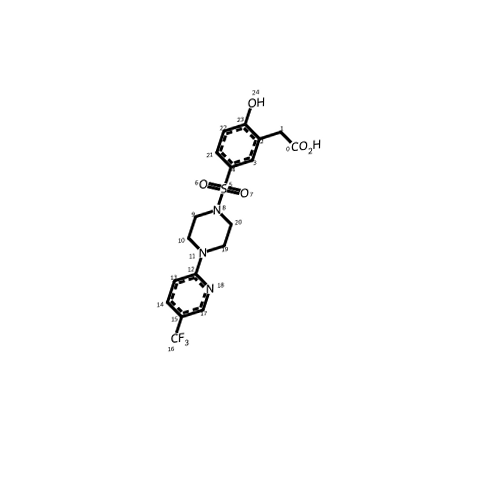 O=C(O)Cc1cc(S(=O)(=O)N2CCN(c3ccc(C(F)(F)F)cn3)CC2)ccc1O